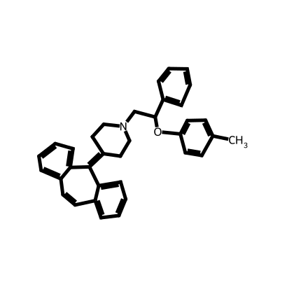 Cc1ccc(OC(CN2CCC(=C3c4ccccc4C=Cc4ccccc43)CC2)c2ccccc2)cc1